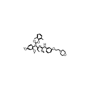 C=N/C(=N\C(=C/C)N(C(=O)Oc1c(C)cccc1C)c1ccc(OC)cc1OC)Nc1cccc(OCCN2CCOCC2)c1